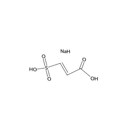 O=C(O)C=CS(=O)(=O)O.[NaH]